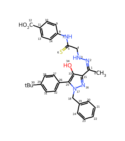 CC(=NNCC(=S)Nc1ccc(C(=O)O)cc1)c1nn(Cc2ccccc2)c(-c2ccc(C(C)(C)C)cc2)c1O